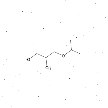 CC(C)OCC(O)C[O]